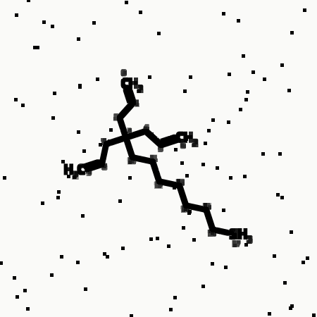 C=CCC(CC=C)(CC=C)CCCCCCC[SiH3]